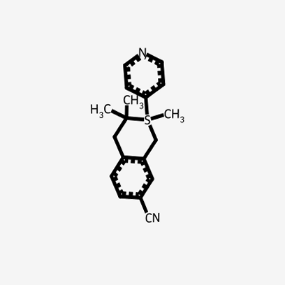 CC1(C)Cc2ccc(C#N)cc2CS1(C)c1ccncc1